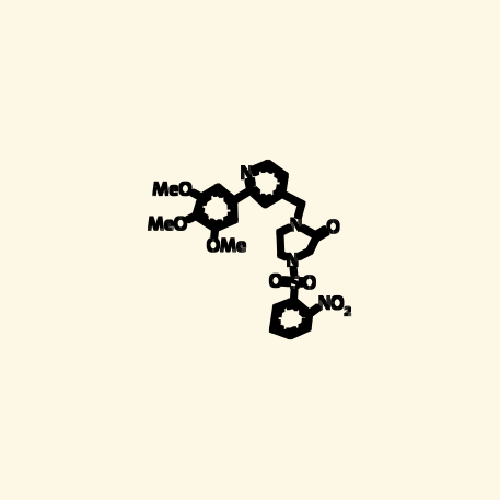 COc1cc(-c2cc(CN3CCN(S(=O)(=O)c4ccccc4[N+](=O)[O-])CC3=O)ccn2)cc(OC)c1OC